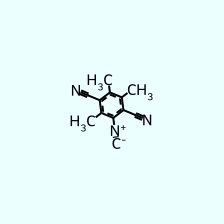 [C-]#[N+]c1c(C)c(C#N)c(C)c(C)c1C#N